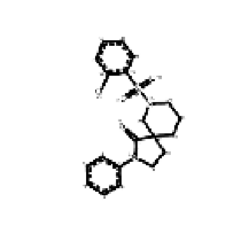 O=C1N(c2ccccc2)CCC12CCCN(S(=O)(=O)c1ccccc1Cl)C2